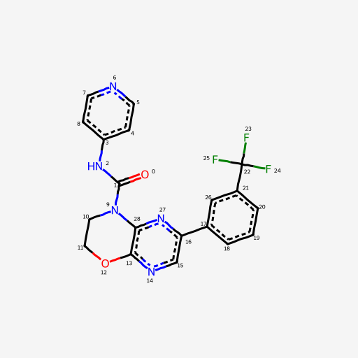 O=C(Nc1ccncc1)N1CCOc2ncc(-c3cccc(C(F)(F)F)c3)nc21